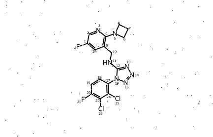 Fc1cnc(N2CCC2)c(CNc2nnnn2-c2ccc(F)c(Cl)c2Cl)c1